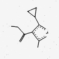 Cc1onc(C2CC2)c1C(=O)CBr